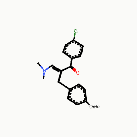 COc1ccc(CC(=CN(C)C)C(=O)c2ccc(Cl)cc2)cc1